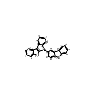 c1cnc2c(c1)oc1c2c2cccnc2n1-c1ccc2sc3ccccc3c2c1